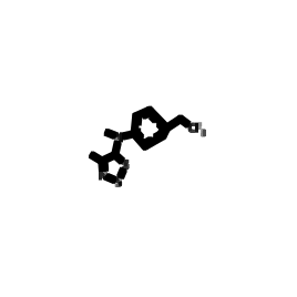 CC1=NSSC1N(C)c1ccc(CC(F)(F)F)cc1